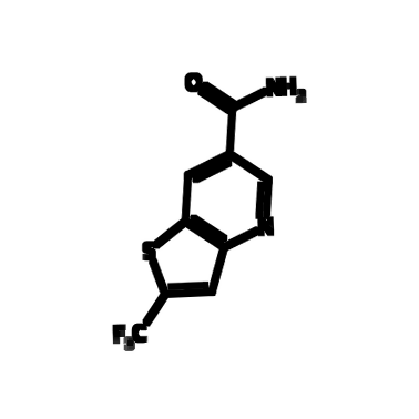 NC(=O)c1cnc2cc(C(F)(F)F)sc2c1